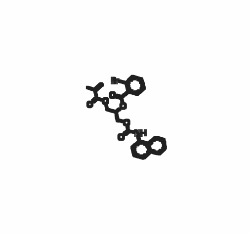 C=C(C)C(=O)OCC(COC(=O)Nc1cccc2ccccc12)OC(=O)c1ccccc1Br